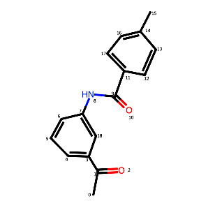 CC(=O)c1cccc(NC(=O)c2ccc(C)cc2)c1